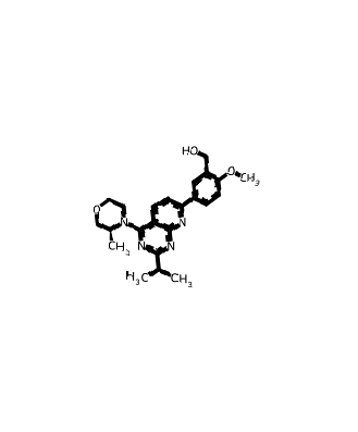 COc1ccc(-c2ccc3c(N4CCOC[C@@H]4C)nc(C(C)C)nc3n2)cc1CO